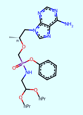 CCCOC(CNP(=O)(CO[C@H](C)Cn1cnc2c(N)ncnc21)Oc1ccccc1)OCCC